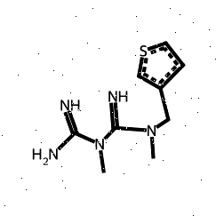 CN(Cc1ccsc1)C(=N)N(C)C(=N)N